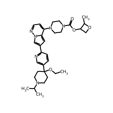 CCOC1(c2ccc(-c3cc4c(N5CCN(C(=O)OC6COC6C)CC5)ccnn4c3)nc2)CCN(C(C)C)CC1